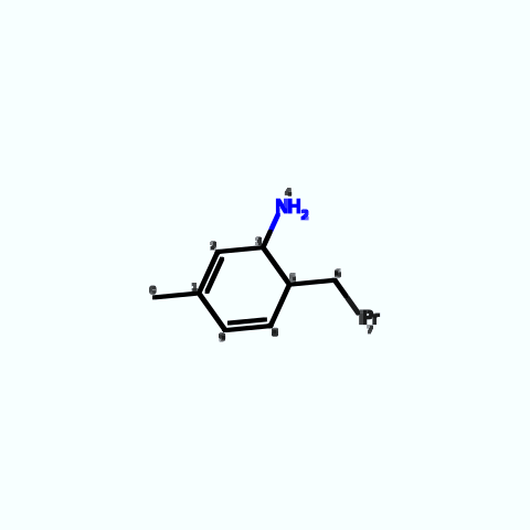 CC1=CC(N)C(CC(C)C)C=C1